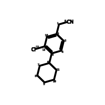 N#CCc1ccc(C2CCCCC2)c(Cl)c1